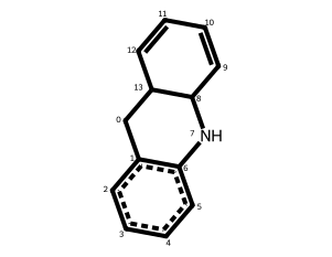 [CH]1c2ccccc2NC2C=CC=CC12